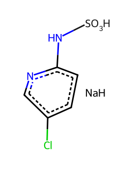 O=S(=O)(O)Nc1ccc(Cl)cn1.[NaH]